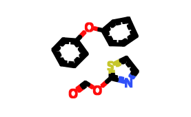 O=COc1nccs1.c1ccc(Oc2ccccc2)cc1